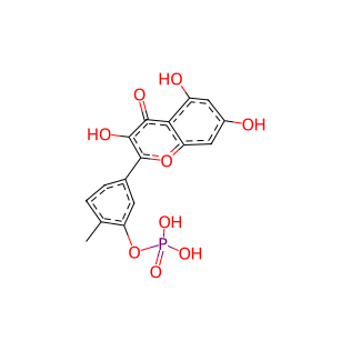 Cc1ccc(-c2oc3cc(O)cc(O)c3c(=O)c2O)cc1OP(=O)(O)O